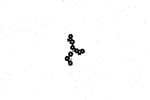 CC1(C)c2ccccc2-c2ccc(-c3ccc4c(c3)c3cc5c(cc3n4-c3ccc(-c4cccc6c4oc4ccccc46)cc3)C(C)(C)c3ccccc3-5)cc21